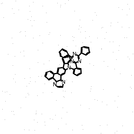 c1ccc(-c2nc(-c3ccccc3)nc(-c3ccccc3-n3c4ccccc4c4cc5c6ccccc6c6nccnc6c5cc43)n2)cc1